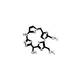 CCc1csc(C(O)c2nnc(Nc3ccn(Cc4csc(C)n4)n3)s2)n1